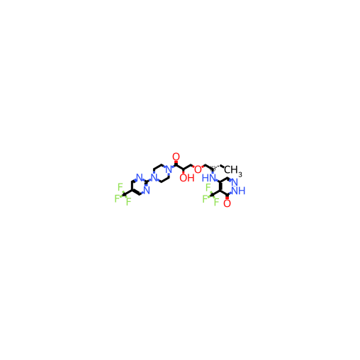 CC[C@@H](COCC(O)C(=O)N1CCN(c2ncc(C(F)(F)F)cn2)CC1)Nc1cn[nH]c(=O)c1C(F)(F)F